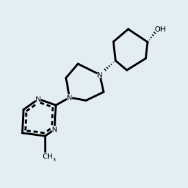 Cc1ccnc(N2CCN([C@H]3CC[C@@H](O)CC3)CC2)n1